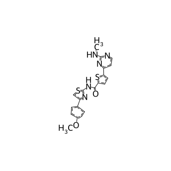 CNc1nccc(-c2ccc(C(=O)Nc3nc(-c4ccc(OC)cc4)cs3)s2)n1